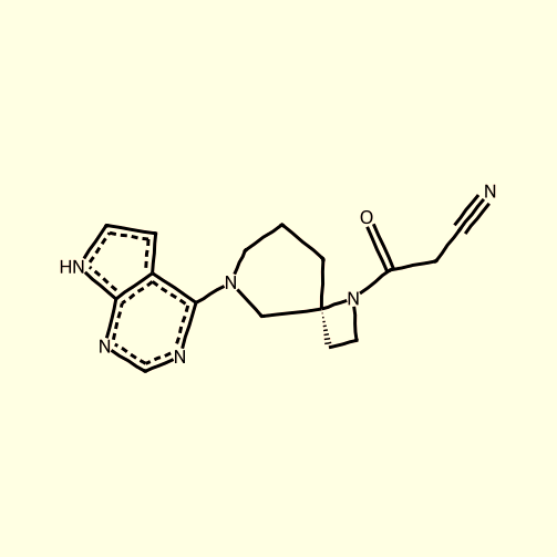 N#CCC(=O)N1CC[C@]12CCCN(c1ncnc3[nH]ccc13)C2